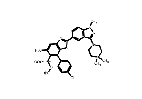 Cc1cc2nc(-c3ccc4c(c3)c(N3CC[N+](C)(C)CC3)nn4C)sc2c(-c2ccc(Cl)cc2)c1[C@H](OC(C)(C)C)C(=O)[O-]